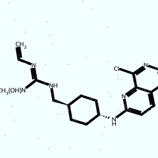 C=C/N=C(/NC[C@H]1CC[C@H](Nc2ccc3ccnc(Cl)c3n2)CC1)N(C)O